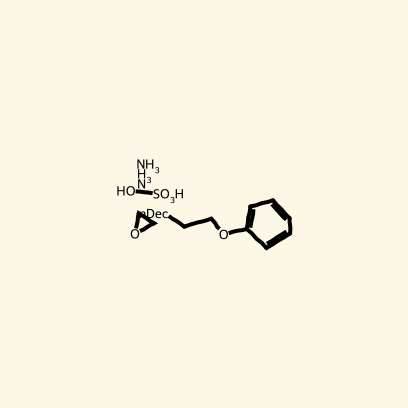 C1CO1.CCCCCCCCCCCCOc1ccccc1.N.N.O=S(=O)(O)O